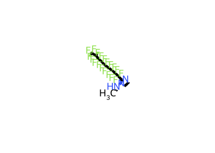 CCNN1CCN=C1C(F)(F)C(F)(F)C(F)(F)C(F)(F)C(F)(F)C(F)(F)C(F)(F)C(F)(F)C(F)(F)F